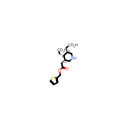 O=C(O)C[C@H]1CNC[C@@H](CC(=O)OCc2cccs2)[C@@H]1CC(=O)O